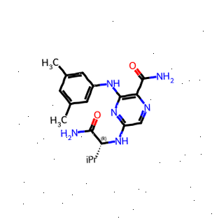 Cc1cc(C)cc(Nc2nc(N[C@@H](C(N)=O)C(C)C)cnc2C(N)=O)c1